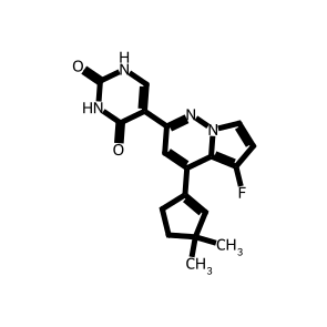 CC1(C)C=C(c2cc(-c3c[nH]c(=O)[nH]c3=O)nn3ccc(F)c23)CC1